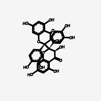 O=C1c2c(O)cc(O)cc2O[C@@](c2ccc(O)c(O)c2)([C@]2(c3ccc(O)c(O)c3)Oc3cc(O)cc(O)c3C(=O)[C@@H]2O)[C@H]1O